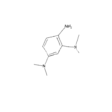 CN(C)c1ccc(N)c(N(C)C)c1